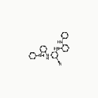 N#Cc1cc(Nc2ccccc2Nc2ccccc2)cc(Nc2ccccc2Nc2ccccc2)c1